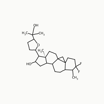 CC1C2CCC3C4CC(O)C(C5CCC(C(C)(C)O)O5)[C@@]4(C)CCC34CC24CCC1(F)F